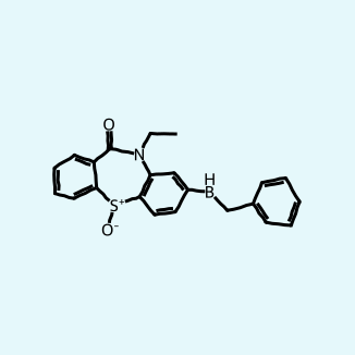 CCN1C(=O)c2ccccc2[S+]([O-])c2ccc(BCc3ccccc3)cc21